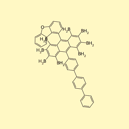 Bc1c(B)c(B)c2c(-c3cccc4oc5ccccc5c34)c3c(B)c(B)c(B)c(B)c3c(-c3ccc(-c4ccc(-c5ccccc5)cc4)cc3)c2c1B